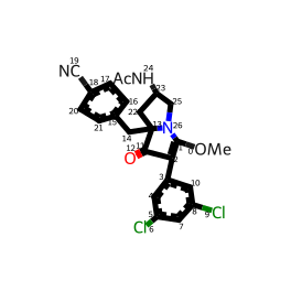 COC1=C(c2cc(Cl)cc(Cl)c2)C(=O)C2(Cc3ccc(C#N)cc3)CC(NC(C)=O)CN12